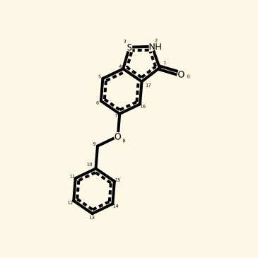 O=c1[nH]sc2ccc(OCc3ccccc3)cc12